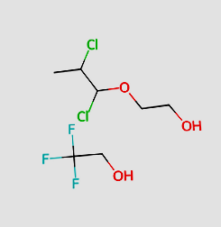 CC(Cl)C(Cl)OCCO.OCC(F)(F)F